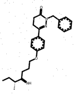 CC[C@@H](C)C(=N)CCCOc1ccc(C2=NN(Cc3ccccc3)C(=O)CC2)cc1